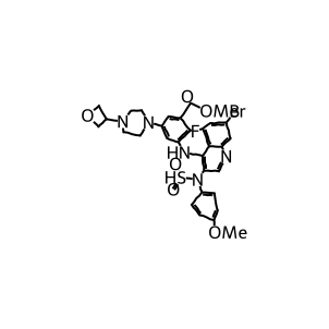 COC(=O)c1cc(Nc2c(N(c3ccc(OC)cc3)[SH](=O)=O)cnc3cc(Br)cc(F)c23)cc(N2CCN(C3COC3)CC2)c1